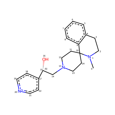 CN1CCc2ccccc2C12CCN(C[C@@H](O)c1ccncc1)CC2